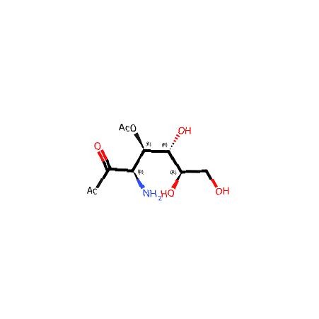 CC(=O)O[C@@H]([C@H](O)[C@H](O)CO)[C@@H](N)C(=O)C(C)=O